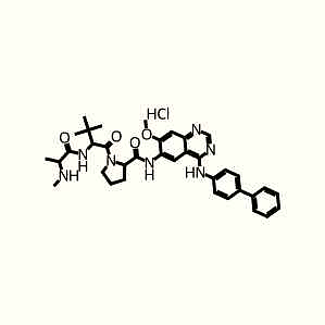 CNC(C)C(=O)NC(C(=O)N1CCCC1C(=O)Nc1cc2c(Nc3ccc(-c4ccccc4)cc3)ncnc2cc1OC)C(C)(C)C.Cl